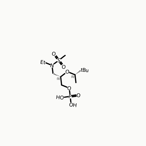 CCN(C[C@@H](COP(=O)(O)O)O[C@@H](C)C(C)(C)C)S(C)(=O)=O